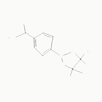 CCOC(=O)C(C)c1ccc(B2OC(C)(C)C(C)(C)O2)cc1